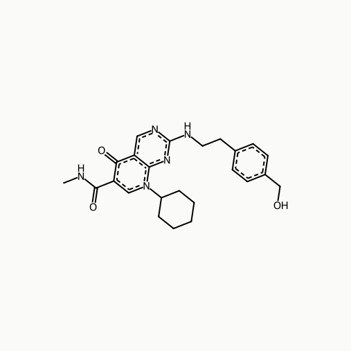 CNC(=O)c1cn(C2CCCCC2)c2nc(NCCc3ccc(CO)cc3)ncc2c1=O